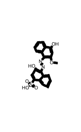 COc1cc(O)c2ccccc2c1/N=N/c1c(O)cc(S(=O)(=O)O)c2ccccc12